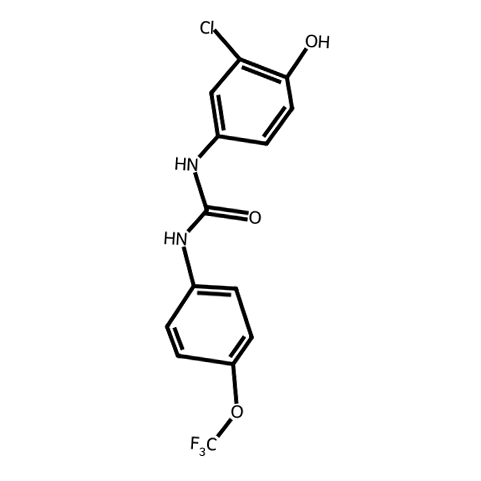 O=C(Nc1ccc(OC(F)(F)F)cc1)Nc1ccc(O)c(Cl)c1